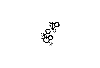 CC1CCC(N(C)C)c2ccccc2N1C(=O)c1ccc(NC(=O)c2ccccc2Cl)cc1